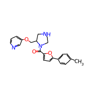 Cc1ccc(-c2ccc(C(=O)N3CCNCC3COc3cccnc3)o2)cc1